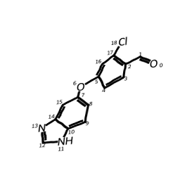 O=Cc1ccc(Oc2ccc3[nH]cnc3c2)cc1Cl